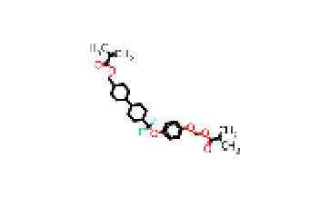 C=C(C)C(=O)OCOc1ccc(OC(F)(F)C2CCC(C3CCC(COC(=O)C(=C)C)CC3)CC2)cc1